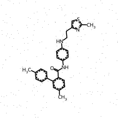 Cc1ccc(-c2cc(C)ccc2C(=O)Nc2ccc(NCCc3csc(C)n3)cc2)cc1